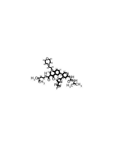 CC(C)NC(=O)Nc1cc(-c2nc(C(F)(F)F)cs2)c(-c2ccc3c(c2)c(=O)c(C(=O)NCCN(C)C)cn3CCN2CCOCC2)cn1